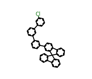 Clc1cccc(-c2cccc(-c3cccc(-c4ccc5c(c4)C4(c6ccccc6-c6ccccc64)c4ccccc4-5)c3)c2)c1